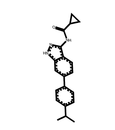 CC(C)c1ccc(-c2ccc3c(NC(=O)C4CC4)n[nH]c3c2)cc1